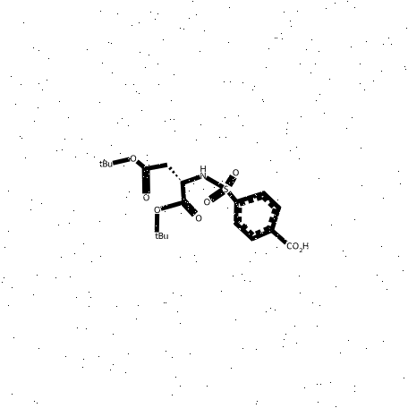 CC(C)(C)OC(=O)C[C@H](NS(=O)(=O)c1ccc(C(=O)O)cc1)C(=O)OC(C)(C)C